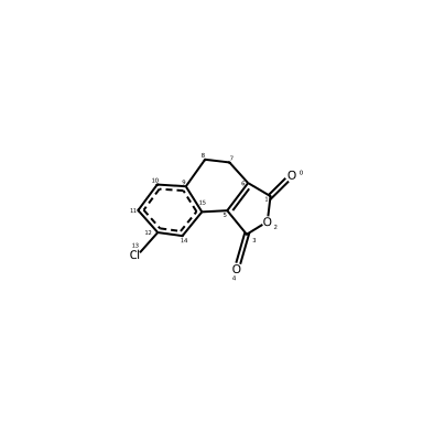 O=C1OC(=O)C2=C1CCc1ccc(Cl)cc12